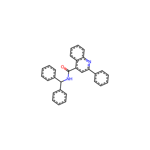 O=C(NC(c1ccccc1)c1ccccc1)c1cc(-c2ccccc2)nc2ccccc12